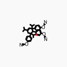 CC(C)C1=CC(c2ccc(OC#N)cc2)(C(C)C)C(c2ccc(OC#N)cc2)C(c2ccc(OC#N)cc2)(C(C)C)C1